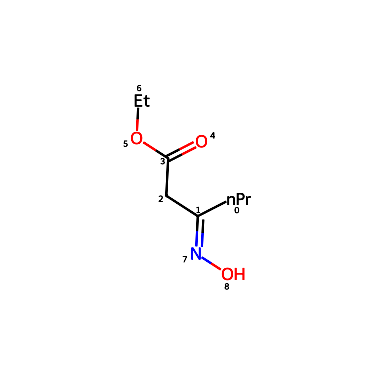 CCC/C(CC(=O)OCC)=N\O